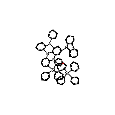 c1ccc(N2c3ccccc3B3c4cccc([Si](c5ccccc5)(c5ccccc5)c5ccccc5)c4N(c4ccc([Si](c5ccccc5)(c5ccccc5)c5ccccc5)cc4)c4cc(-n5c6ccccc6c6ccccc65)cc2c43)cc1